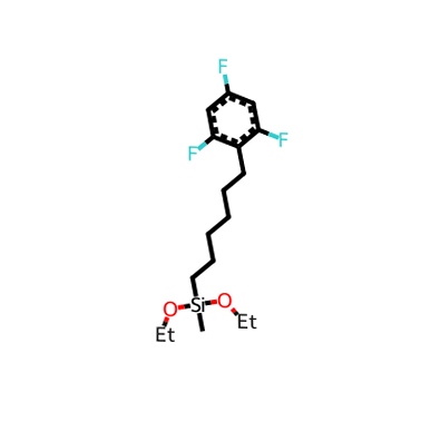 CCO[Si](C)(CCCCCCc1c(F)cc(F)cc1F)OCC